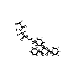 C=C(C)C(=O)NC(C)(C)C(=O)OCCOc1cccc(C(OC(=O)c2ccccc2)C(=O)c2ccccc2)c1